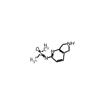 CS(C)(=O)=Nc1ccc2c(n1)CNC2